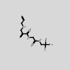 C=CCOCC(=C)C(=O)OCC(=O)OCC(F)(F)F